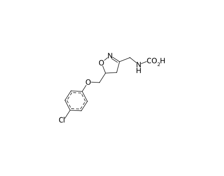 O=C(O)NCC1=NOC(COc2ccc(Cl)cc2)C1